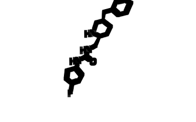 O=C(NC[C@@H]1CC[C@H](Cc2ccccc2)CN1)Nc1ccc(F)cc1